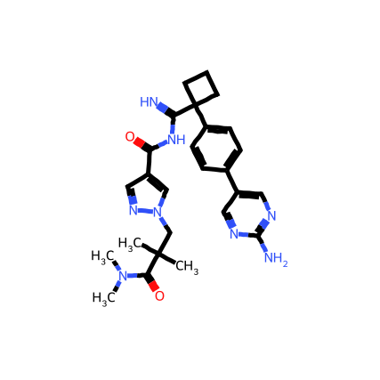 CN(C)C(=O)C(C)(C)Cn1cc(C(=O)NC(=N)C2(c3ccc(-c4cnc(N)nc4)cc3)CCC2)cn1